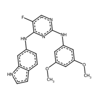 COc1cc(Nc2ncc(F)c(Nc3ccc4cc[nH]c4c3)n2)cc(OC)c1